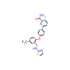 NC(=O)c1cccc(-c2ccc(Oc3ccc(C(F)(F)F)cc3CNc3nccs3)cc2)n1